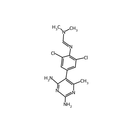 Cc1nc(N)nc(N)c1-c1cc(Cl)c(N=CN(C)C)c(Cl)c1